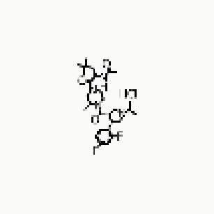 CC(=O)NC(CC(C)(C)C)C(=O)N1CCN(C(=O)[C@@H]2CN(C(C)C)C[C@H]2c2ccc(F)cc2F)[C@@H](C)C1.Cl